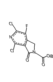 CC(C)COC(=O)N1Cc2c(F)c(Cl)nc(Cl)c2C1=O